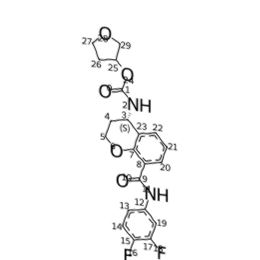 O=C(N[C@H]1CCOc2c(C(=O)Nc3ccc(F)c(F)c3)cccc21)OC1CCOC1